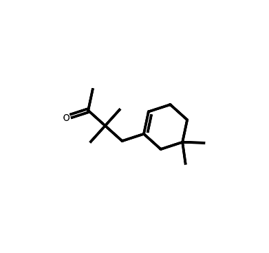 CC(=O)C(C)(C)CC1=CCCC(C)(C)C1